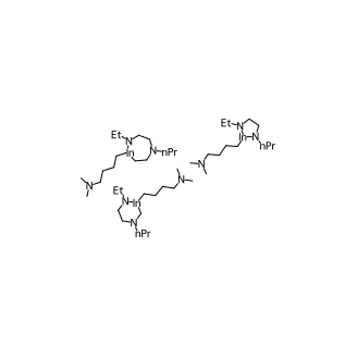 CCCN1CC[N](CC)[In]([CH2]CCCN(C)C)[CH2]1.CCCN1CC[N](CC)[In]([CH2]CCCN(C)C)[CH2]C1.CCC[N]1CC[N](CC)[In]1[CH2]CCCN(C)C